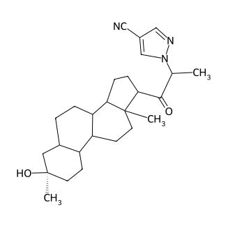 CC(C(=O)C1CCC2C3CCC4C[C@](C)(O)CCC4C3CCC12C)n1cc(C#N)cn1